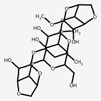 COC1CC(CO)OC(OC2C3COC2C(O)C(OC2CC(C)OC(OC4C5COC4C(O)C(OC)O5)C2O)O3)C1O